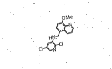 COc1ccc(CNc2cc(Cl)cnc2Cl)c2cccnc12